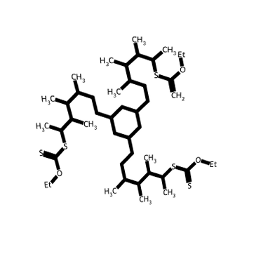 C=C(OCC)SC(C)C(C)C(C)C(C)CCC1CC(CCC(C)C(C)C(C)C(C)SC(=S)OCC)CC(CCC(C)C(C)C(C)C(C)SC(=S)OCC)C1